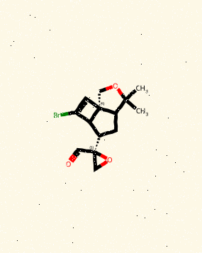 CC1(C)OC[C@@]23C=C(Br)C2C([C@@]2(C=O)CO2)CC13